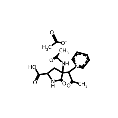 CC(=O)NC1(C(C(C)=O)[n+]2ccccc2)CC(C(=O)O)NC1=O.CC(=O)[O-]